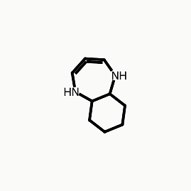 C1=CNC2CCCCC2NC=1